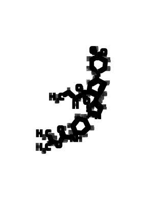 CCNS(=O)(=O)c1cc(N2CCS(=O)(=O)CC2)ccc1-c1cnc([C@H]2CC[C@H](NC(=O)OC(C)C)CC2)s1